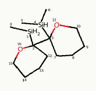 C[SiH2]C1(C2([SiH](C)C)CCCCO2)CCCCO1